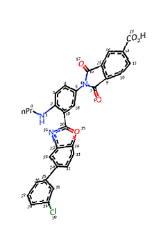 CCCNc1ccc(N2C(=O)c3ccc(C(=O)O)cc3C2=O)cc1-c1nc2cc(-c3cccc(Cl)c3)ccc2o1